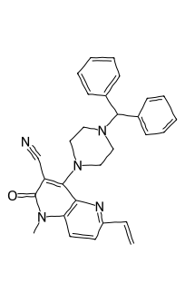 C=Cc1ccc2c(n1)c(N1CCN(C(c3ccccc3)c3ccccc3)CC1)c(C#N)c(=O)n2C